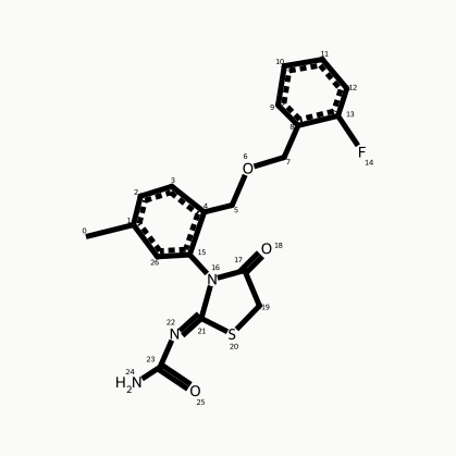 Cc1ccc(COCc2ccccc2F)c(N2C(=O)CSC2=NC(N)=O)c1